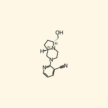 N#Cc1cccnc1N1CCN2[C@@H](CO)CC[C@H]2C1